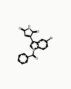 O=C1C=C(c2cn(C(=O)c3ccccc3)c3ccc(Br)cc23)C(=O)N1